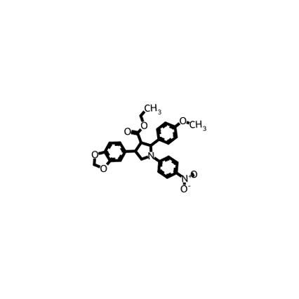 CCOC(=O)C1C(c2ccc3c(c2)OCO3)CN(c2ccc([N+](=O)[O-])cc2)C1c1ccc(OC)cc1